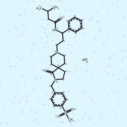 CC(C)CC(=O)NC(CCN1CCC2(CC1)CCN(Cc1ccc(S(C)(=O)=O)cc1)C2=O)c1ccccc1.Cl